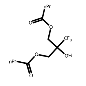 CCCC(=O)OCC(O)(COC(=O)CCC)C(F)(F)F